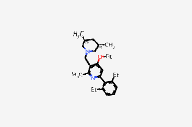 CCOc1cc(-c2c(CC)cccc2CC)nc(C)c1CN1C[C@H](C)C[C@H](C)C1